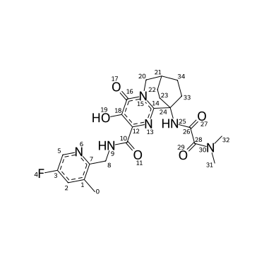 Cc1cc(F)cnc1CNC(=O)c1nc2n(c(=O)c1O)CC1CCC2(NC(=O)C(=O)N(C)C)CC1